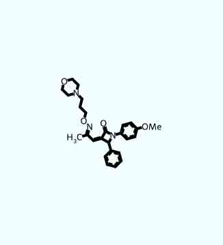 COc1ccc(N2C(=O)C(=CC(C)=NOCCCN3CCOCC3)C2c2ccccc2)cc1